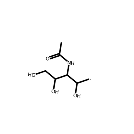 [CH2]C(O)C(NC(C)=O)C(O)CO